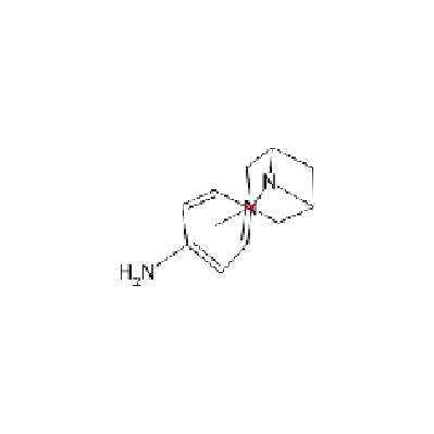 CN1CC2CC(C1)N2c1ccc(N)cc1